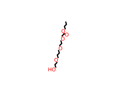 CCCCOC(=O)COCCCOCCCCOCCCO